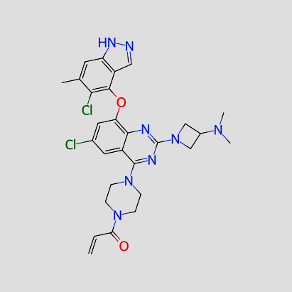 C=CC(=O)N1CCN(c2nc(N3CC(N(C)C)C3)nc3c(Oc4c(Cl)c(C)cc5[nH]ncc45)cc(Cl)cc23)CC1